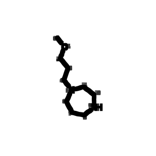 COCCCN1CCCNCC1